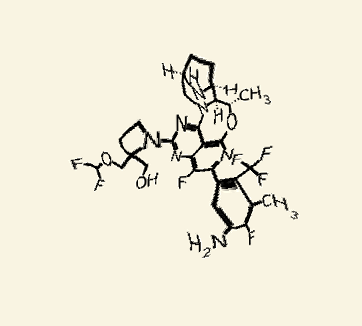 Cc1c(F)c(N)cc(-c2nc3c4c(nc(N5CCC5(CO)COC(F)F)nc4c2F)N2C[C@H]4CC[C@H](N4)[C@H]2[C@H](C)O3)c1C(F)(F)F